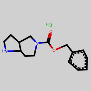 Cl.O=C(OCc1ccccc1)N1CCC2NCCC2C1